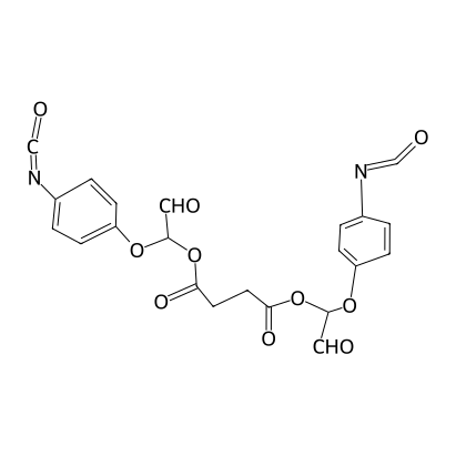 O=C=Nc1ccc(OC(C=O)OC(=O)CCC(=O)OC(C=O)Oc2ccc(N=C=O)cc2)cc1